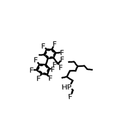 CCCC(CC)CCC(C)CPCF.Cc1c(F)c(F)c(F)c(C(F)(F)F)c1-c1c(F)c(F)c(F)c(F)c1F